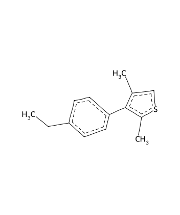 CCc1ccc(-c2c(C)csc2C)cc1